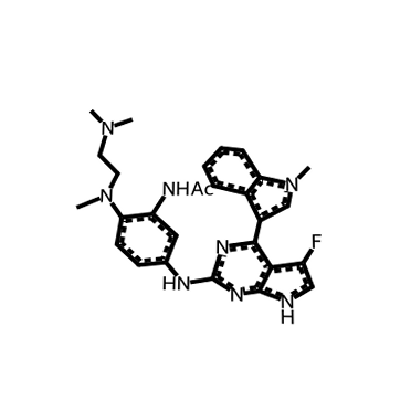 CC(=O)Nc1cc(Nc2nc(-c3cn(C)c4ccccc34)c3c(F)c[nH]c3n2)ccc1N(C)CCN(C)C